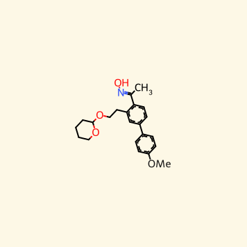 COc1ccc(-c2ccc(C(C)=NO)c(CCOC3CCCCO3)c2)cc1